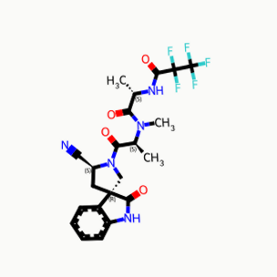 C[C@H](NC(=O)C(F)(F)C(F)(F)F)C(=O)N(C)[C@@H](C)C(=O)N1C[C@]2(C[C@H]1C#N)C(=O)Nc1ccccc12